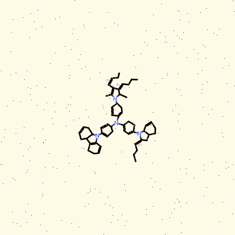 CC/C=C\C1=C(C)N(C2C=CC(N(C3=CC=C(N4/C(=C/CCC)CC5CCC=CC54)CC3)C3C=CC(N4C5=C(CCC=C5)C5CC=CCC54)=CC3)=CC2)C(C)/C1=C\CCC